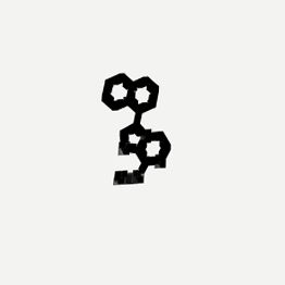 CNc1nccn2c(-c3cccc4ccccc34)cnc12